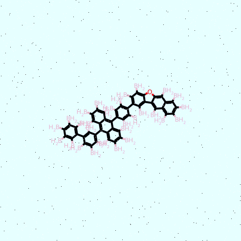 Bc1c(B)c(B)c(-c2c(B)c(B)c(B)c(-c3c4c(B)c(B)c(B)c(B)c4c(-c4c(B)c(B)c(-c5c(B)c(B)c6oc7c(B)c8c(B)c(B)c(B)c(B)c8c(B)c7c6c5B)c(B)c4B)c4c(B)c(B)c(B)c(B)c34)c2B)c(B)c1B